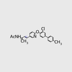 CC(=O)N[C@@H](C)/C=C/c1ccc(Oc2ccc(-c3ccc(C)cc3)cc2Cl)nc1